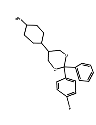 CCCC1CCC(C2COC(c3ccccc3)(c3ccc(F)cc3)OC2)CC1